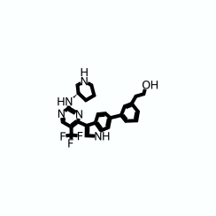 OCCc1cccc(-c2ccc3c(-c4nc(N[C@H]5CCCNC5)ncc4C(F)(F)F)c[nH]c3c2)c1